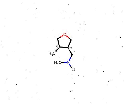 CCN(C)C[C@@H]1COC[C@@H]1C